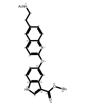 CC(=O)NCCc1ccc2nc(Oc3ccc4[nH]cc(C(=O)OC(C)(C)C)c4c3)ccc2c1